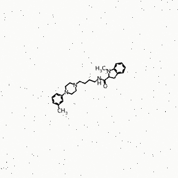 Cc1cccc(N2CCN(CCCCNC(=O)C3Cc4ccccc4N3C)CC2)c1